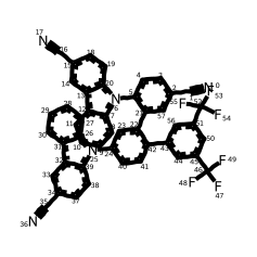 N#Cc1ccc(-n2c3ccccc3c3cc(C#N)ccc32)c(-c2cc(-n3c4ccccc4c4cc(C#N)ccc43)ccc2-c2cc(C(F)(F)F)cc(C(F)(F)F)c2)c1